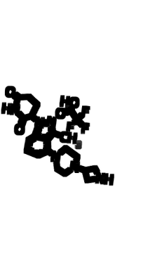 Cc1nn(C2CCC(=O)NC2=O)c2cccc(N3CCN(C4CNC4)CC3)c12.O=C(O)C(F)(F)F